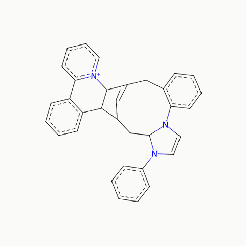 C1=CN2c3ccccc3CC3=CC(CC2N1c1ccccc1)C1c2ccccc2-c2cccc[n+]2C31